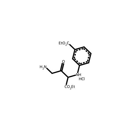 CCOC(=O)c1cccc(NC(C(=O)CN)C(=O)OCC)c1.Cl